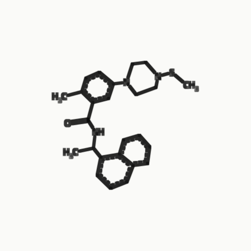 CSN1CCN(c2ccc(C)c(C(=O)NC(C)c3cccc4ccccc34)c2)CC1